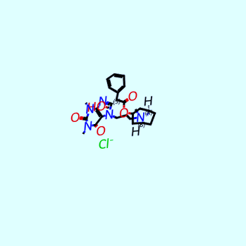 Cn1c(=O)c2c(ncn2CCC[N+]2(C)[C@@H]3CC[C@H]2CC(OC(=O)[C@H](CO)c2ccccc2)C3)n(C)c1=O.[Cl-]